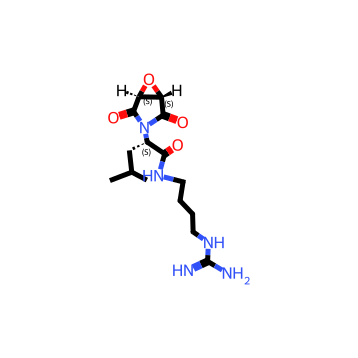 CC(C)C[C@@H](C(=O)NCCCCNC(=N)N)N1C(=O)[C@H]2O[C@@H]2C1=O